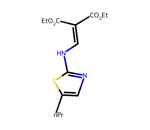 CCCc1cnc(NC=C(C(=O)OCC)C(=O)OCC)s1